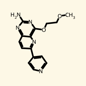 COCCOc1nc(N)nc2ccc(-c3ccncc3)nc12